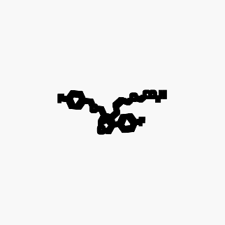 O=C(O)COC/C=C\CC1C(COCc2ccc(F)cc2)C2CC1(c1ccc(F)cc1)CO2